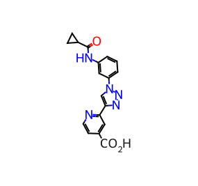 O=C(O)c1ccnc(-c2cn(-c3cccc(NC(=O)C4CC4)c3)nn2)c1